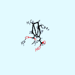 COC(=O)C12CC3(C)CC(C)(CC(C=C(C)C(=O)O)(C3)C1)C2